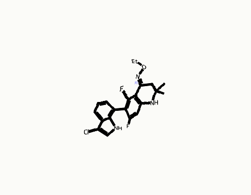 CCO/N=C1\CC(C)(C)Nc2cc(F)c(-c3cccc4c(Cl)c[nH]c34)c(F)c21